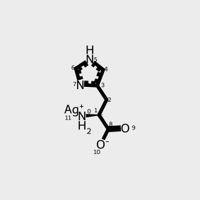 N[C@@H](Cc1c[nH]cn1)C(=O)[O-].[Ag+]